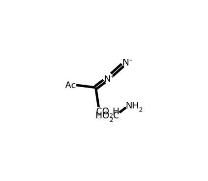 CC(=O)C(=[N+]=[N-])C(=O)O.NC(=O)O